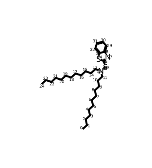 CCCCCCCCCCCCN(CCCCCCCCCCCC)Sc1nc2ccccc2s1